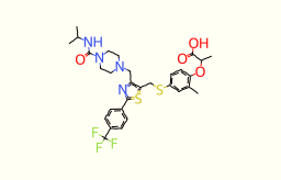 Cc1cc(SCc2sc(-c3ccc(C(F)(F)F)cc3)nc2CN2CCN(C(=O)NC(C)C)CC2)ccc1OC(C)C(=O)O